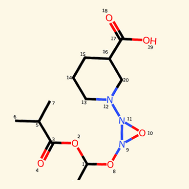 CC(OC(=O)C(C)C)On1on1N1CCCC(C(=O)O)C1